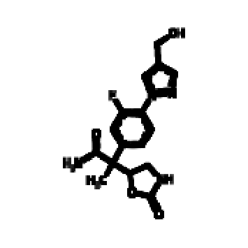 CC(C(N)=O)(c1ccc(-n2cc(CO)cn2)c(F)c1)C1CNC(=O)O1